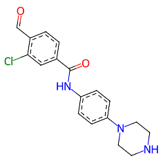 O=Cc1ccc(C(=O)Nc2ccc(N3CCNCC3)cc2)cc1Cl